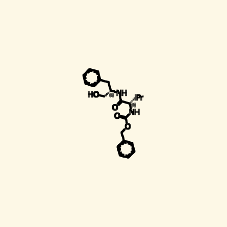 CC(C)[C@H](NC(=O)OCc1ccccc1)C(=O)N[C@H](CO)Cc1ccccc1